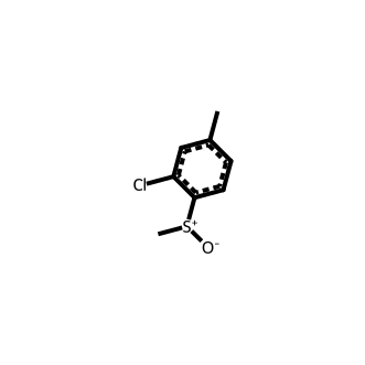 Cc1ccc([S+](C)[O-])c(Cl)c1